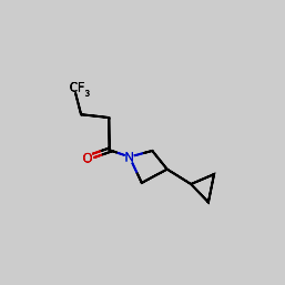 O=C(CCC(F)(F)F)N1CC(C2CC2)C1